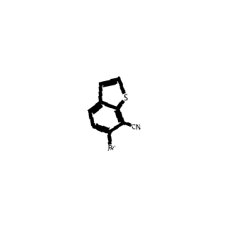 N#Cc1c(Br)ccc2ccsc12